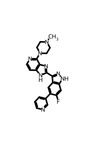 CN1CCN(c2nccc3[nH]c(-c4n[nH]c5cc(F)c(-c6cccnc6)cc45)nc23)CC1